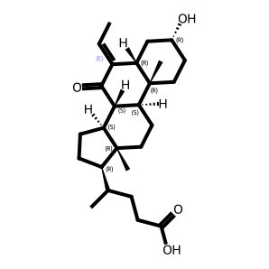 C/C=C1/C(=O)[C@@H]2[C@H](CC[C@]3(C)[C@@H](C(C)CCC(=O)O)CC[C@@H]23)[C@@]2(C)CC[C@@H](O)C[C@@H]12